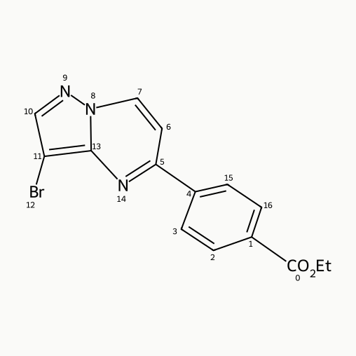 CCOC(=O)c1ccc(-c2ccn3ncc(Br)c3n2)cc1